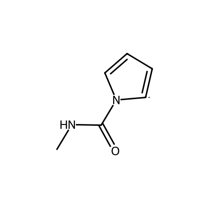 CNC(=O)n1[c]ccc1